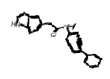 O=C(Cc1ccc2[nH]ccc2c1)Nc1ccc(-c2ccccc2)cc1